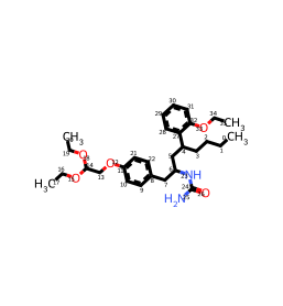 CCCCC(CC(Cc1ccc(OCC(OCC)OCC)cc1)NC(N)=O)c1ccccc1OCC